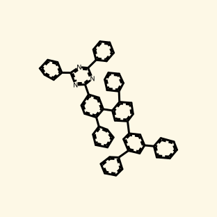 c1ccc(-c2cc(-c3ccccc3)cc(-c3ccc(-c4ccccc4)c(-c4cc(-c5nc(-c6ccccc6)nc(-c6ccccc6)n5)ccc4-c4ccccc4)c3)c2)cc1